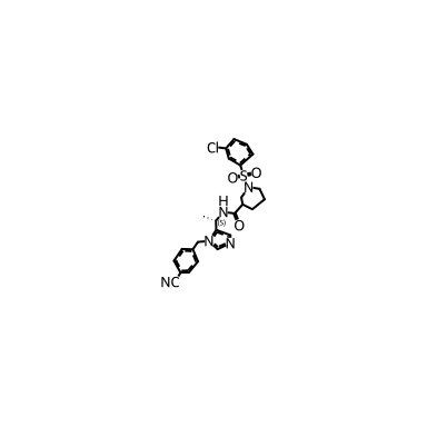 C[C@H](NC(=O)C1CCCN(S(=O)(=O)c2cccc(Cl)c2)C1)c1cncn1Cc1ccc(C#N)cc1